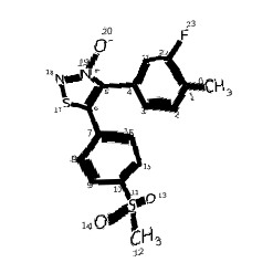 Cc1ccc(-c2c(-c3ccc(S(C)(=O)=O)cc3)sn[n+]2[O-])cc1F